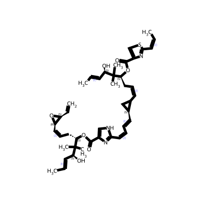 C=C[C@@H]1O[C@@H]1/C=C\C[C@H](OC(=O)c1c[nH]c(/C=C\C=C\[C@H]2CC2/C=C\C[C@H](OC(=O)c2csc(/C=C\C)n2)C(C)(C)[C@@H](O)/C=C/C)n1)C(C)(C)[C@@H](O)/C=C/C